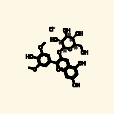 COc1cc(-c2[o+]c3cc(O)cc(O)c3cc2O[C@@H]2O[C@H](CO)[C@@H](O)[C@H](O)[C@H]2O)cc(OC)c1O.[Cl-]